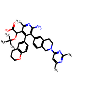 Cc1cc(N2CCc3cc(-c4c(N)nc(C)c(C(OC(C)(C)C)C(=O)O)c4-c4ccc5c(c4)CCCO5)ccc3C2)nc(C)n1